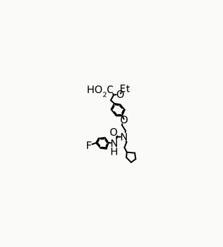 CCOC(Cc1ccc(OCCN(CCC2CCCC2)C(=O)Nc2ccc(F)cc2)cc1)C(=O)O